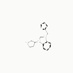 c1csc(CN2CN(C3CCNC3)c3ccccc32)c1